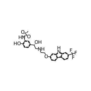 CS(=O)(=O)Nc1cc([C@H](O)CNCCOc2ccc3c(c2)[nH]c2cc(C(F)(F)F)ccc23)ccc1O